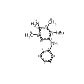 CCCCc1c(Nc2ccccc2)cc(C)c(N)c1C